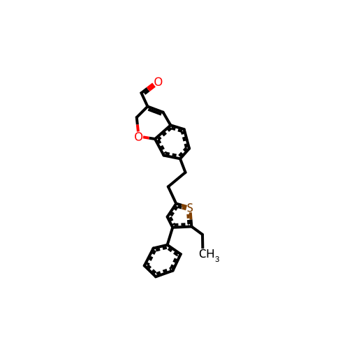 CCc1sc(CCc2ccc3c(c2)OCC(C=O)=C3)cc1-c1ccccc1